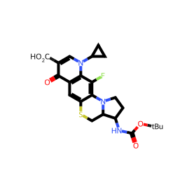 CC(C)(C)OC(=O)NC1CCN2c3c(cc4c(=O)c(C(=O)O)cn(C5CC5)c4c3F)SCC12